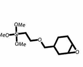 CO[Si](CCOCC1CCC2OC2C1)(OC)OC